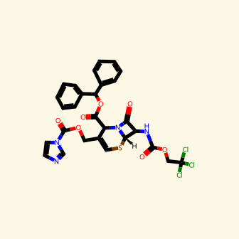 O=C(NC1C(=O)N2C(C(=O)OC(c3ccccc3)c3ccccc3)C(COC(=O)n3ccnc3)=CS[C@@H]12)OCC(Cl)(Cl)Cl